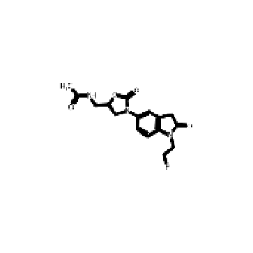 CC(=O)NCC1CN(c2ccc3c(c2)CC(=O)N3CCF)C(=O)O1